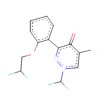 O=C(O)c1cn(C(F)F)nc(-c2ccccc2OCC(F)F)c1=O